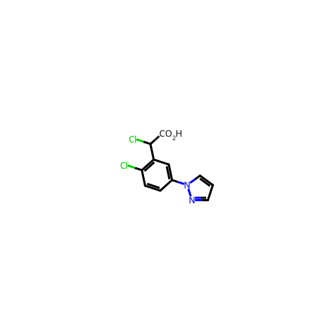 O=C(O)C(Cl)c1cc(-n2cccn2)ccc1Cl